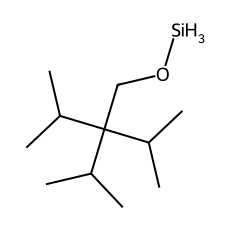 CC(C)C(CO[SiH3])(C(C)C)C(C)C